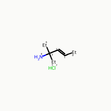 CC/C=C/C(N)(CC)CC.Cl